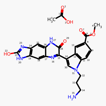 CC(=O)O.COC(=O)c1ccc2c(c1)c(-c1nc3cc4[nH]c(O)nc4cc3[nH]c1=O)cn2CCCN